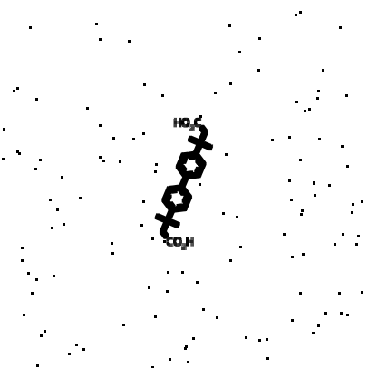 CC(C)(CC(=O)O)c1ccc(-c2ccc(C(C)(C)CC(=O)O)cc2)cc1